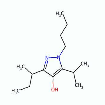 CCCCn1nc(C(C)CC)c(O)c1C(C)C